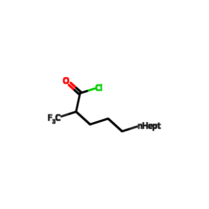 CCCCCCCCCCC(C(=O)Cl)C(F)(F)F